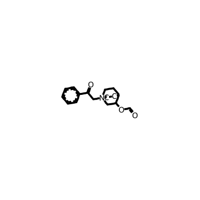 O=COC1C[N+]2(CC(=O)c3ccccc3)CCC1CC2